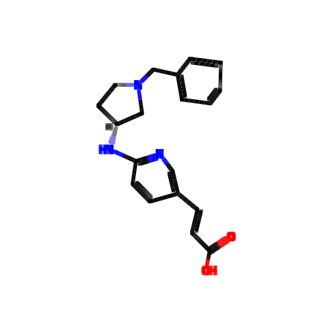 O=C(O)C=Cc1ccc(N[C@@H]2CCN(Cc3ccccc3)C2)nc1